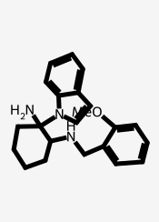 COc1ccccc1CNC1CCCCC1(N)n1ccc2ccccc21